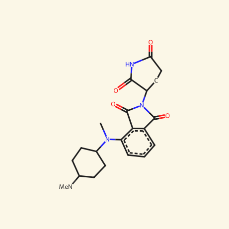 CNC1CCC(N(C)c2cccc3c2C(=O)N(C2CCC(=O)NC2=O)C3=O)CC1